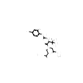 CC(C)CCN(CC(=O)NO)C(=O)[C@@H](NC(=O)Nc1ccc(Cl)cc1Cl)C(C)(C)C